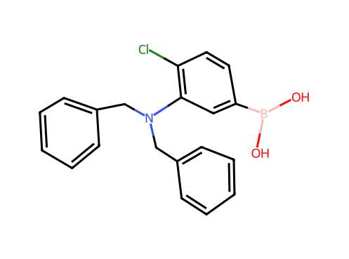 OB(O)c1ccc(Cl)c(N(Cc2ccccc2)Cc2ccccc2)c1